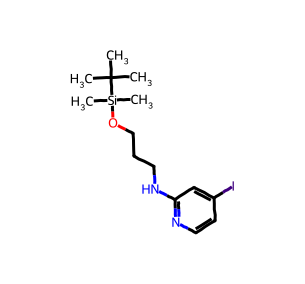 CC(C)(C)[Si](C)(C)OCCCNc1cc(I)ccn1